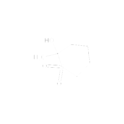 CC1(O)CCCCS1(=O)=O